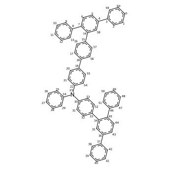 c1ccc(-c2ccc(-c3ccccc3)c(-c3ccc(-c4ccc(N(c5ccccc5)c5ccc(-c6cc(-c7ccccc7)ccc6-c6ccccc6)cc5)cc4)cc3)c2)cc1